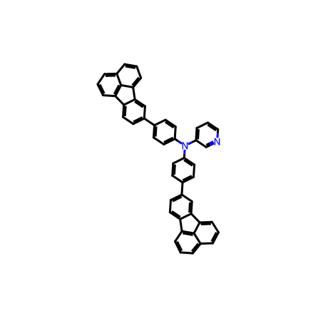 c1cncc(N(c2ccc(-c3ccc4c(c3)-c3cccc5cccc-4c35)cc2)c2ccc(-c3ccc4c(c3)-c3cccc5cccc-4c35)cc2)c1